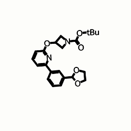 CC(C)(C)OC(=O)N1CC(Oc2cccc(-c3cccc(C4OCCO4)c3)n2)C1